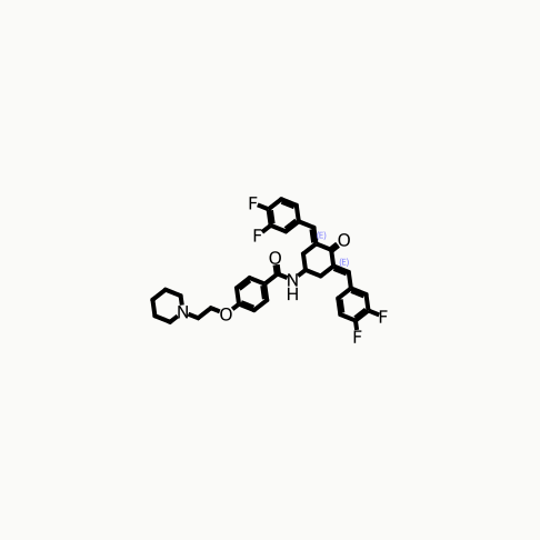 O=C1/C(=C/c2ccc(F)c(F)c2)CC(NC(=O)c2ccc(OCCN3CCCCC3)cc2)C/C1=C\c1ccc(F)c(F)c1